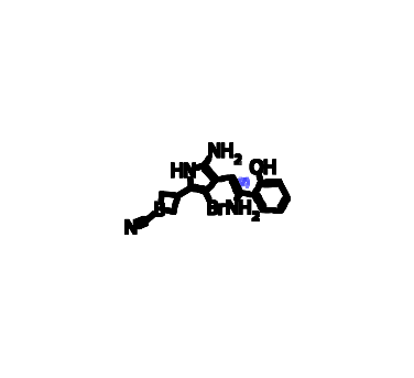 N#CB1CC(c2[nH]c(N)c(/C=C(\N)c3ccccc3O)c2Br)C1